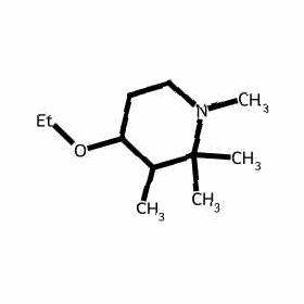 CCOC1CCN(C)C(C)(C)C1C